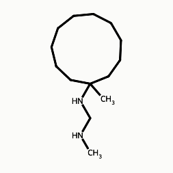 CNCNC1(C)CCCCCCCCCC1